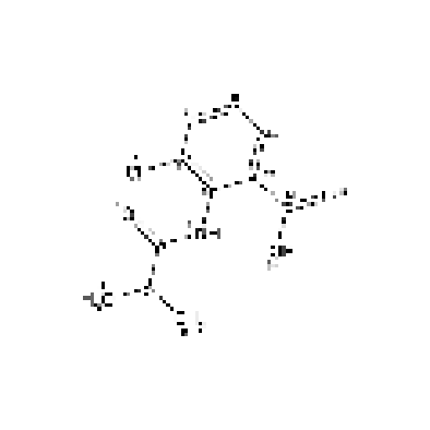 CC(C)C(=O)Nc1c(Cl)cccc1C(=O)O